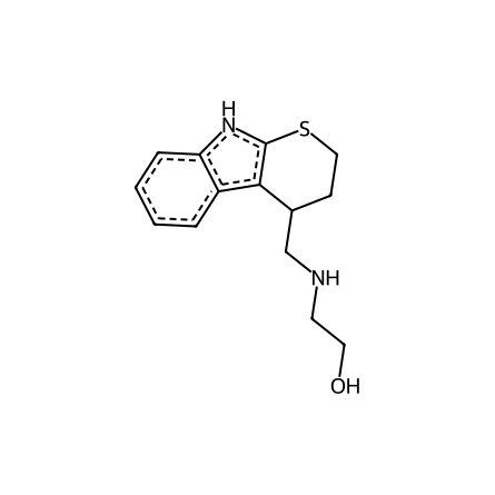 OCCNCC1CCSc2[nH]c3ccccc3c21